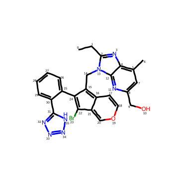 CCc1nc2c(C)cc(CO)nc2n1Cc1c2ccocc-2c(Br)c1-c1ccccc1-c1nnn[nH]1